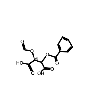 O=CO[C@H](C(=O)O)C(OC(=O)c1ccccc1)C(=O)O